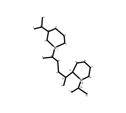 CC(C)C1CCCN(C(C)CCC(C)C2CCCCN2C(C)C)C1